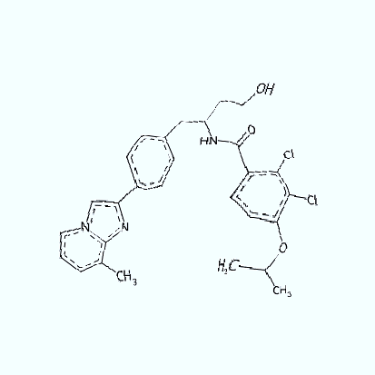 Cc1cccn2cc(-c3ccc(CC(CCO)NC(=O)c4ccc(OC(C)C)c(Cl)c4Cl)cc3)nc12